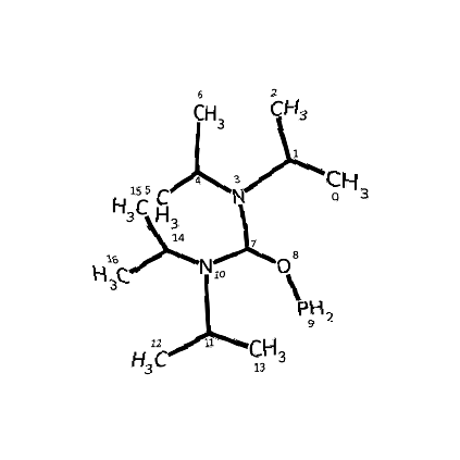 CC(C)N(C(C)C)C(OP)N(C(C)C)C(C)C